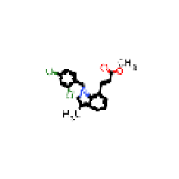 COC(=O)/C=C/c1cccc2c(C)cn(Cc3ccc(Cl)cc3Cl)c12